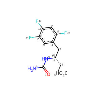 NC(=O)N[C@@H](CC(=O)O)Cc1cc(F)c(F)cc1F